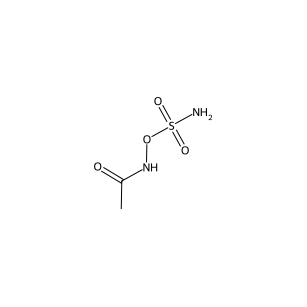 CC(=O)NOS(N)(=O)=O